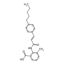 CCCCCc1ccc(/C=C/C(=O)Nc2c(C)cccc2C(=O)O)cc1